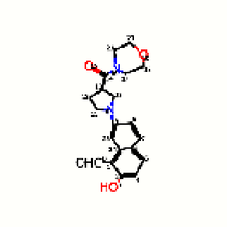 O=Cc1c(O)ccc2ccc(N3CCC(C(=O)N4CCOCC4)C3)cc12